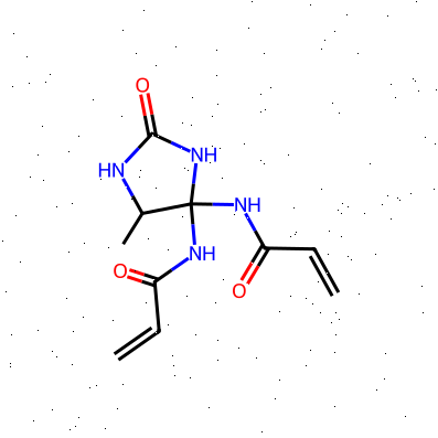 C=CC(=O)NC1(NC(=O)C=C)NC(=O)NC1C